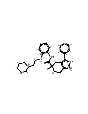 CC1(C(=O)Nc2ccccc2OCCN2CCCCC2)CCc2[nH]nc(-c3ccncc3)c2C1